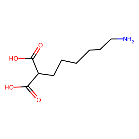 NCCCCCCC(C(=O)O)C(=O)O